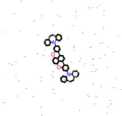 C1=CC2C=Cc3ccccc3N(c3ccc4c(c3)Oc3ccc5c6c(ccc-4c36)-c3ccc(N4c6ccccc6C=Cc6ccccc64)cc3O5)C2C=C1